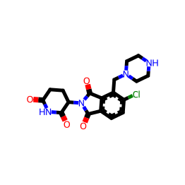 O=C1CCC(N2C(=O)c3ccc(Cl)c(CN4CCNCC4)c3C2=O)C(=O)N1